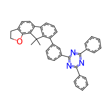 CC1(C)c2c(-c3cccc(-c4nc(-c5ccccc5)nc(-c5ccccc5)n4)c3)cccc2-c2ccc3c(c21)OCC3